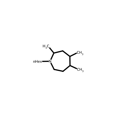 CCCCCCN1CCC(C)C(C)CC1C